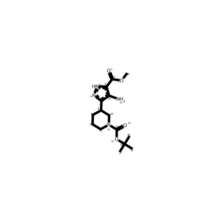 COC(=O)c1[nH]nc(C2CCCN(C(=O)OC(C)(C)C)C2)c1N